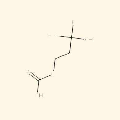 CC(=O)OCCC(C)(C)F